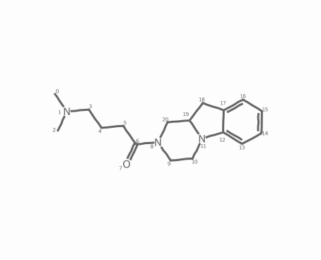 CN(C)CCCC(=O)N1CCN2c3ccccc3CC2C1